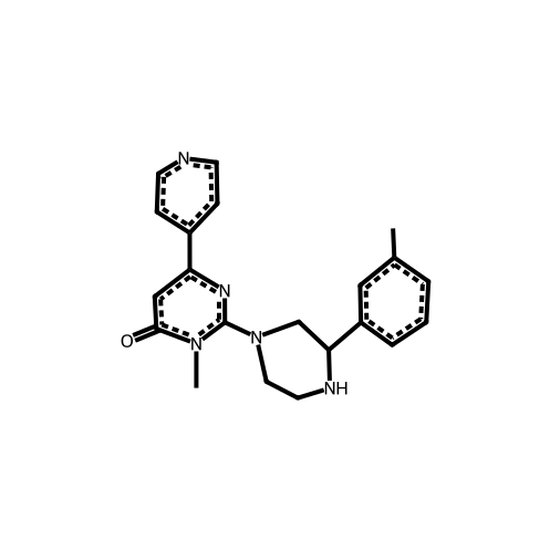 Cc1cccc(C2CN(c3nc(-c4ccncc4)cc(=O)n3C)CCN2)c1